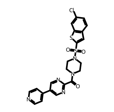 O=C(c1ncc(-c2ccncc2)cn1)N1CCN(S(=O)(=O)c2cc3ccc(Cl)cc3s2)CC1